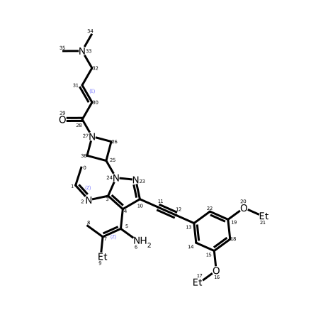 C/C=N\c1c(/C(N)=C(\C)CC)c(C#Cc2cc(OCC)cc(OCC)c2)nn1C1CN(C(=O)/C=C/CN(C)C)C1